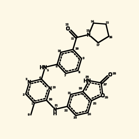 Cc1cnc(Nc2cccc(C(=O)N3CCCC3)c2)nc1Nc1ccc2oc(=O)[nH]c2c1